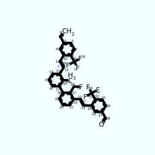 C=Cc1ccc(C(F)(F)F)c(/C=C/c2cccc(-c3cccc(/C=C/c4cc(C=O)ccc4C(F)(F)F)c3CF)c2C)c1